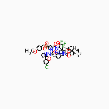 COc1ccc(CS(=O)(=O)[C@@H]2C[C@@H](C(=O)NC(C(=O)C(F)(F)F)C(C)C)N(C(=O)[C@H](Cc3ccc(CNC(=O)OC(C)(C)C)cc3)NC(=O)C3(c4ccc(Cl)cc4)CCCC3)C2)cc1